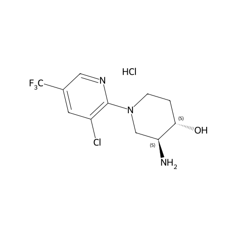 Cl.N[C@H]1CN(c2ncc(C(F)(F)F)cc2Cl)CC[C@@H]1O